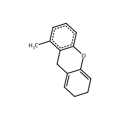 Cc1cccc2c1CC1=CCCC=C1O2